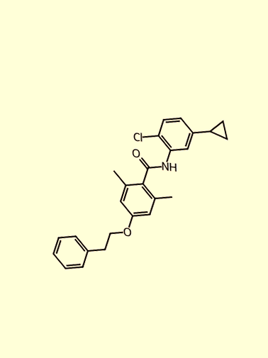 Cc1cc(OCCc2ccccc2)cc(C)c1C(=O)Nc1cc(C2CC2)ccc1Cl